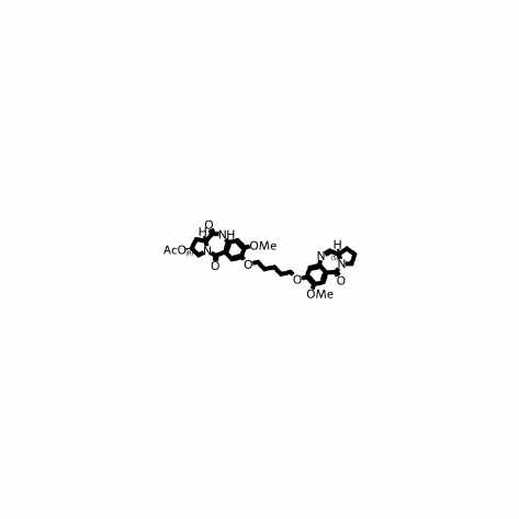 COc1cc2c(cc1OCCCCCOc1cc3c(cc1OC)NC(=O)[C@H]1C[C@@H](OC(C)=O)CN1C3=O)N=C[C@@H]1CCCN1C2=O